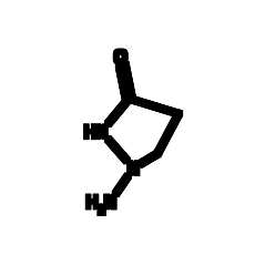 NN1CCC(=O)N1